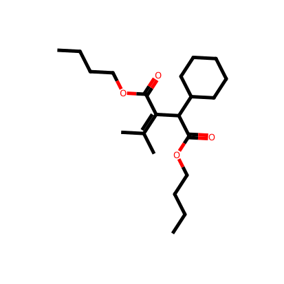 CCCCOC(=O)C(=C(C)C)C(C(=O)OCCCC)C1CCCCC1